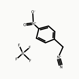 F[B-](F)(F)F.N#[N+]Cc1ccc([N+](=O)[O-])cc1